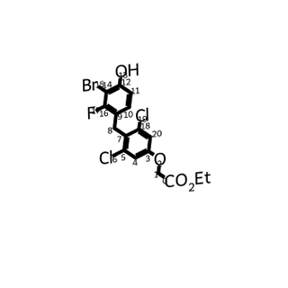 CCOC(=O)COc1cc(Cl)c(Cc2ccc(O)c(Br)c2F)c(Cl)c1